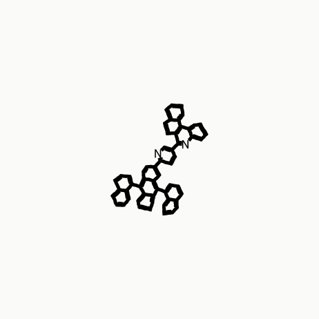 c1ccc2c(-c3c4ccccc4c(-c4cccc5ccccc45)c4cc(-c5ccc(-c6nc7ccccc7c7c6ccc6ccccc67)cn5)ccc34)cccc2c1